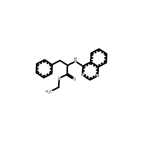 CCOC(=O)C(Cc1ccccc1)Nc1ncnc2ccccc12